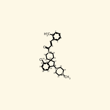 Cc1ccccc1/C=C/C(=O)N1CCC2(CC1)CC(N1CCN(C)CC1)c1cccc(Cl)c12